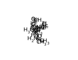 CC[C@H](C)[C@H](N)C(=O)NCC(=O)O[C@H]1[C@H](NC(=O)c2ccc(F)c(Cl)c2)c2cc(C(C)=O)ccc2OC1(C)C